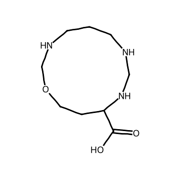 O=C(O)C1CCOCNCCCNCN1